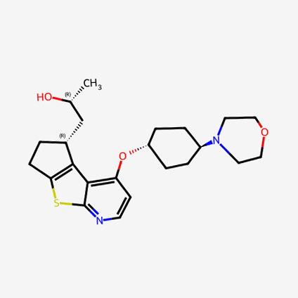 C[C@@H](O)C[C@H]1CCc2sc3nccc(O[C@H]4CC[C@H](N5CCOCC5)CC4)c3c21